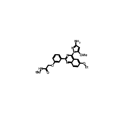 CCOc1ccc2nc(-c3cccc(OCC(=O)NC(C)(C)C)c3)nc(-n3nc(N)cc3OC)c2c1